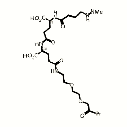 CNNCCCC(=O)N[C@@H](CCC(=O)N[C@@H](CCC(=O)NCCOCCOCC(=O)C(C)C)C(=O)O)C(=O)O